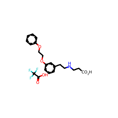 O=C(O)C(F)(F)F.O=C(O)CCNCCc1cccc(OCCOc2ccccc2)c1